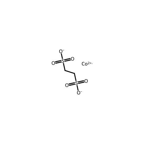 O=S(=O)([O-])CCS(=O)(=O)[O-].[Co+2]